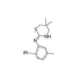 Cc1ccc(C(C)C)c(N=C2NCC(C)(C)CS2)c1